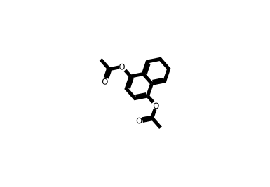 CC(=O)Oc1ccc(OC(C)=O)c2c1=CCCC=2